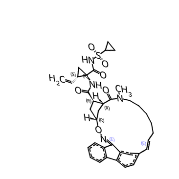 C=C[C@@H]1C[C@]1(NC(=O)[C@@H]1C[C@@H]2C[C@H]1C(=O)N(C)CCCCC/C=C/c1ccc3c(c1)/C(=N/O2)c1ccccc1-3)C(=O)NS(=O)(=O)C1CC1